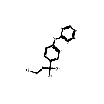 CC(O)(CCN)c1ccc(Sc2ccccc2)cc1